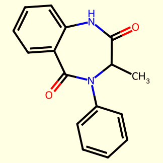 CC1C(=O)Nc2ccccc2C(=O)N1c1ccccc1